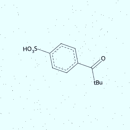 CC(C)(C)C(=O)c1ccc(S(=O)(=O)O)cc1